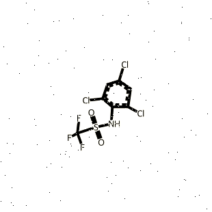 O=S(=O)(Nc1c(Cl)cc(Cl)cc1Cl)C(F)(F)F